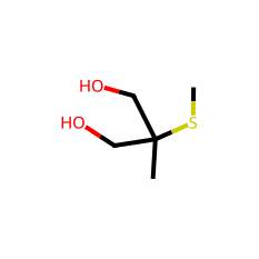 CSC(C)(CO)CO